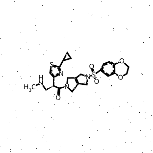 CNC[C@H](C(=O)N1CC2=C(C1)CN(S(=O)(=O)c1ccc3c(c1)OCCO3)C2)c1csc(C2CC2)n1